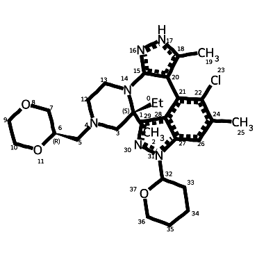 CC[C@@]1(C)CN(C[C@@H]2COCCO2)CCN1c1n[nH]c(C)c1-c1c(Cl)c(C)cc2c1cnn2C1CCCCO1